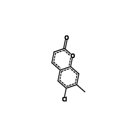 Cc1cc2oc(=O)ccc2cc1Cl